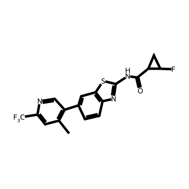 Cc1cc(C(F)(F)F)ncc1-c1ccc2nc(NC(=O)C3CC3F)sc2c1